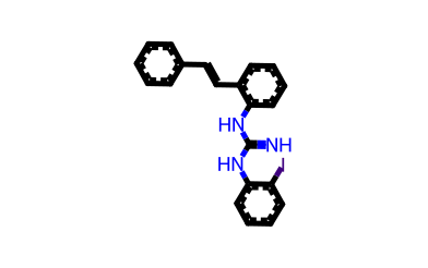 N=C(Nc1ccccc1I)Nc1ccccc1C=Cc1ccccc1